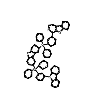 c1ccc([Si](c2ccccc2)(c2cccc(-c3nccc4c3sc3ccccc34)c2)c2ccc3sc4ccc([Si](c5ccccc5)(c5ccccc5)c5cccc(-n6c7ccccc7c7ccccc76)c5)cc4c3c2)cc1